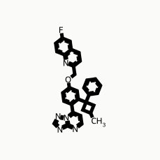 CC1CC(c2ccccc2)(c2cc(OCc3ccc4cc(F)ccc4n3)ccc2-c2ccnc3ncnn23)C1